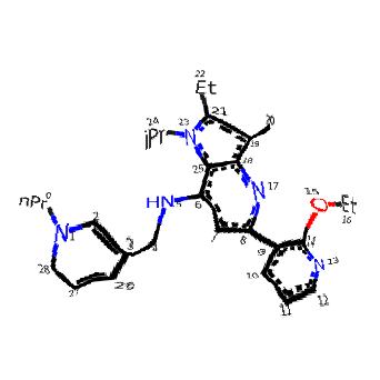 CCCN1C=C(CNc2cc(-c3cccnc3OCC)nc3c(C)c(CC)n(C(C)C)c23)C=CC1